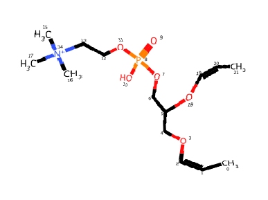 C/C=C\OCC(COP(=O)(O)OCC[N+](C)(C)C)O/C=C\C